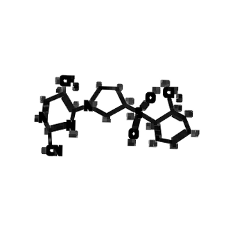 N#Cc1ncc(C(F)(F)F)c(N2CCC(S(=O)(=O)c3ccccc3C(F)(F)F)C2)n1